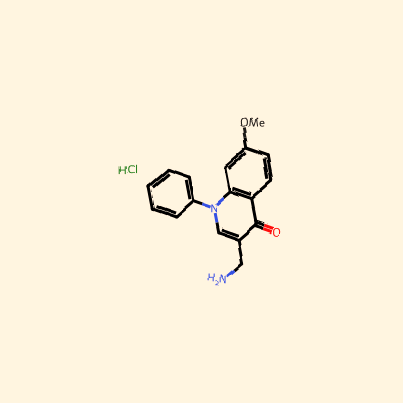 COc1ccc2c(=O)c(CN)cn(-c3ccccc3)c2c1.Cl